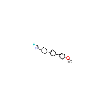 CCOc1ccc(-c2ccc(C3CCC(/C=C/F)CC3)cc2)cc1